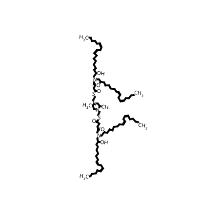 CCCCC/C=C\C/C=C\CCCCCCC(O)CN(CCCCC(=O)SCCN1CC(C)N(CCSC(=O)CCCN(CC(O)CCCCCC/C=C\C/C=C\CCCCC)CC(O)CCCCCC/C=C\C/C=C\CCCCC)CC1C)CC(O)CCCCCC/C=C\C/C=C\CCCCC